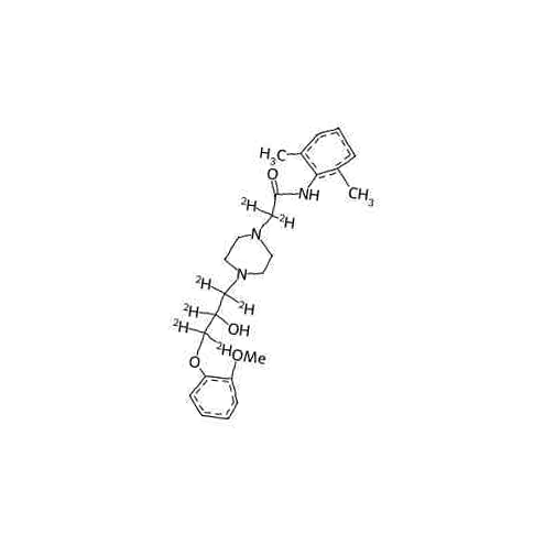 [2H]C([2H])(C(=O)Nc1c(C)cccc1C)N1CCN(C([2H])([2H])C([2H])(O)C([2H])([2H])Oc2ccccc2OC)CC1